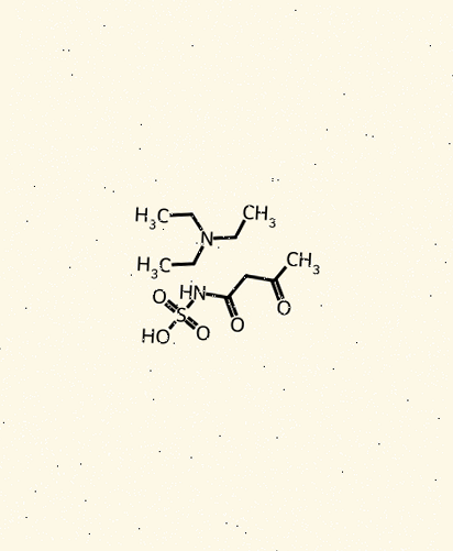 CC(=O)CC(=O)NS(=O)(=O)O.CCN(CC)CC